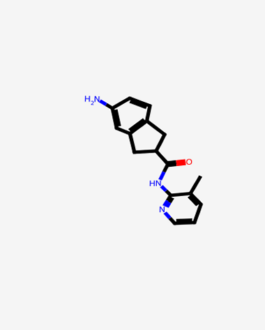 Cc1cccnc1NC(=O)C1Cc2ccc(N)cc2C1